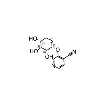 N#Cc1ccncc1O[C@H]1SC[C@@H](O)[C@H](O)[C@H]1O